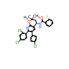 CC1(C)C[C@@H](NC(=O)c2ccccc2F)c2cc(-c3ccc(Cl)cc3)c(-c3ccc(Cl)cc3Cl)nc2O1